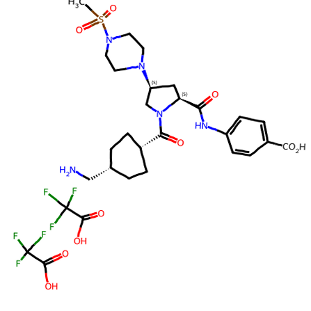 CS(=O)(=O)N1CCN([C@H]2C[C@@H](C(=O)Nc3ccc(C(=O)O)cc3)N(C(=O)[C@H]3CC[C@@H](CN)CC3)C2)CC1.O=C(O)C(F)(F)F.O=C(O)C(F)(F)F